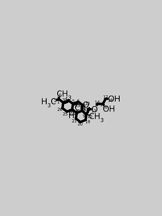 CC(C)C1=CC2=CCC3[C@](C)(C(=O)OCC(O)CO)CCC[C@]3(C)[C@H]2CC1